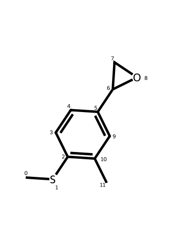 CSc1ccc(C2CO2)cc1C